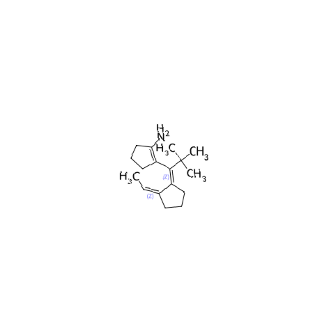 C/C=C1/CCC/C1=C(/C1=C(N)CCC1)C(C)(C)C